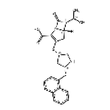 C[C@@H](O)[C@H]1C(=O)N2C(C(=O)O)=C(S[C@@H]3CN[C@H](Cc4cccc5ccccc45)C3)C[C@@H]12